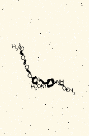 CNC(CN1CC[C@H](OCCOCCOCCOC)C1)c1ccc(NCCOC)cc1